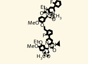 CCOc1cc([C@H](CS(C)(=O)=O)n2c(=O)n(C3CC3)c3cc(-c4cccc(CCOc5cc([C@H](CS(C)(=O)=O)n6c(=O)n(CC)c7cc(-c8ccccc8F)cnc76)ccc5OC)c4F)cnc32)ccc1OC